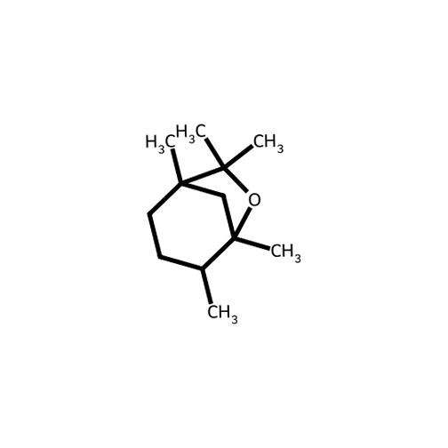 CC1CCC2(C)CC1(C)OC2(C)C